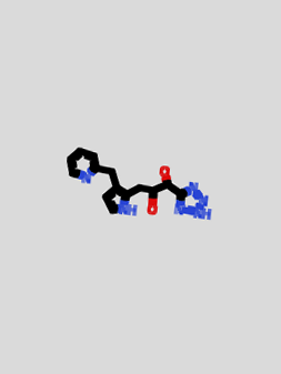 O=C(Cc1[nH]ccc1Cc1ccccn1)C(=O)c1nn[nH]n1